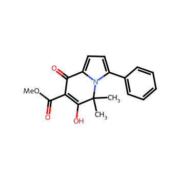 COC(=O)C1=C(O)C(C)(C)n2c(ccc2-c2ccccc2)C1=O